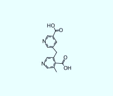 Cc1cncc(Cc2cncc(C(=O)O)c2)c1C(=O)O